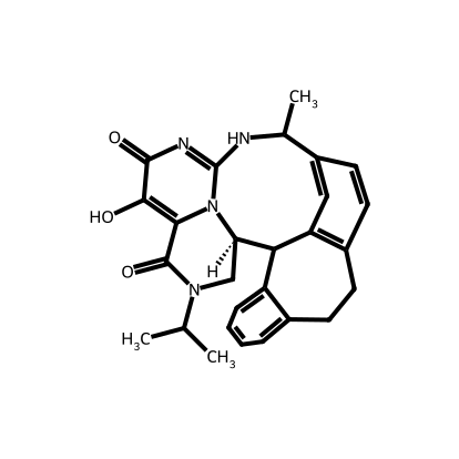 CC1Nc2nc(=O)c(O)c3n2[C@H](CN(C(C)C)C3=O)C2c3ccccc3CCc3ccc1cc32